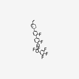 C=CC1CCC(c2ccc(-c3ccc(OCC(F)(F)Oc4cc(F)c(F)c(F)c4)c(F)c3)c(F)c2)CC1